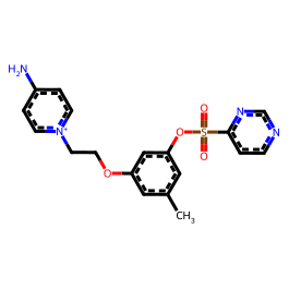 Cc1cc(OCC[n+]2ccc(N)cc2)cc(OS(=O)(=O)c2ccncn2)c1